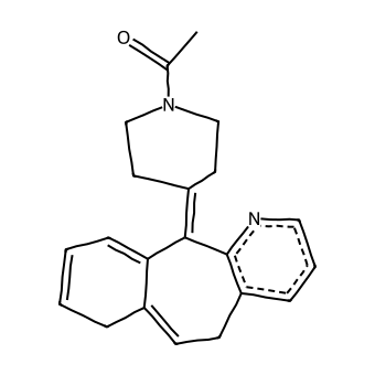 CC(=O)N1CCC(=C2C3=CC=CCC3=CCc3cccnc32)CC1